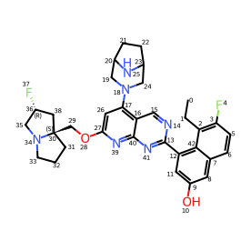 CCc1c(F)ccc2cc(O)cc(-c3ncc4c(N5CC6CCC(C5)N6)cc(OC[C@@]56CCCN5C[C@H](F)C6)nc4n3)c12